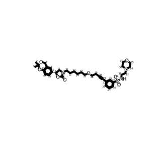 CC1(C)OCc2cc([C@@H]3CN(CCCCCCOCCC#Cc4cccc(S(=O)(=O)NCCN5CCOCC5)c4)C(=O)O3)ccc2O1